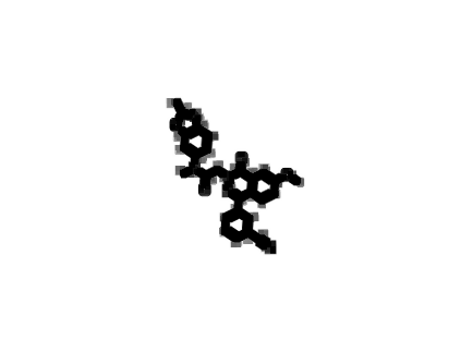 COc1ccc2c(-c3cccc(C#N)c3)nn(CC(=O)N(C)c3ccc4nc(C)oc4c3)c(=O)c2c1